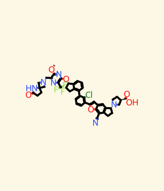 COc1nc(O[C@H]2CCc3c(-c4cccc(-c5cc6cc7c(c(C#N)c6o5)CC[C@H]7N5CC[C@@H](C(=O)O)C5)c4Cl)cccc32)c(C(F)(F)F)nc1CN1CC2(CCC(=O)N2)C1